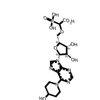 O=C(O)C(OC[C@H]1O[C@@H](n2cnc3c(N4CCC(O)CC4)ncnc32)[C@H](O)[C@H]1O)P(=O)(O)O